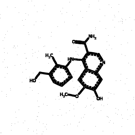 COc1cc2c(Nc3cccc(CO)c3C)c(C(N)=O)cnc2cc1O